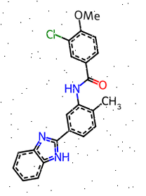 COc1ccc(C(=O)Nc2cc(-c3nc4ccccc4[nH]3)ccc2C)cc1Cl